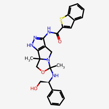 CC1(N[C@H](CO)c2ccccc2)OCC2(C)c3[nH]nc(NC(=O)c4cc5ccccc5s4)c3CN12